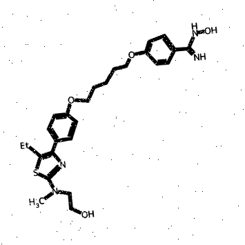 CCc1sc(N(C)CCO)nc1-c1ccc(OCCCCCOc2ccc(C(=N)NO)cc2)cc1